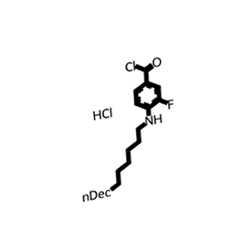 CCCCCCCCCCCCCCCCNc1ccc(C(=O)Cl)cc1F.Cl